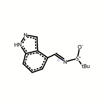 CC(C)(C)[S+]([O-])/N=C/c1cccc2[nH]ncc12